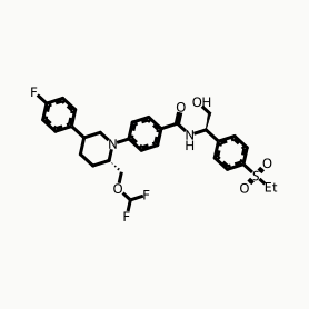 CCS(=O)(=O)c1ccc([C@H](CO)NC(=O)c2ccc(N3CC(c4ccc(F)cc4)CC[C@H]3COC(F)F)cc2)cc1